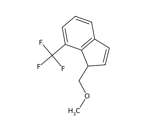 COCC1C=Cc2cccc(C(F)(F)F)c21